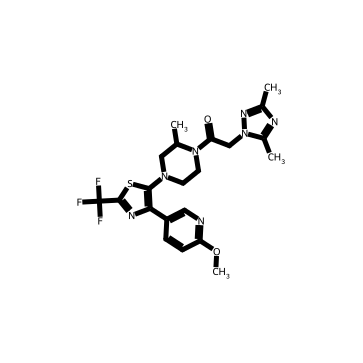 COc1ccc(-c2nc(C(F)(F)F)sc2N2CCN(C(=O)Cn3nc(C)nc3C)C(C)C2)cn1